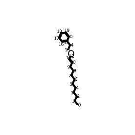 CCCCCCCCCCC=COCCc1ccccc1